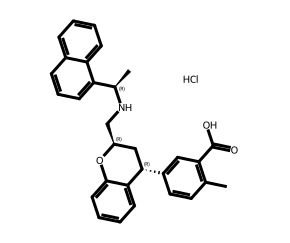 Cc1ccc([C@H]2C[C@H](CN[C@H](C)c3cccc4ccccc34)Oc3ccccc32)cc1C(=O)O.Cl